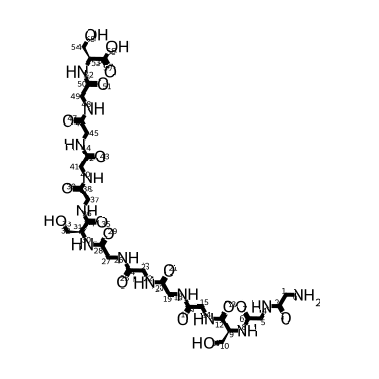 NCC(=O)NCC(=O)N[C@@H](CO)C(=O)NCC(=O)NCC(=O)NCC(=O)NCC(=O)N[C@@H](CO)C(=O)NCC(=O)NCC(=O)NCC(=O)NCC(=O)N[C@@H](CO)C(=O)O